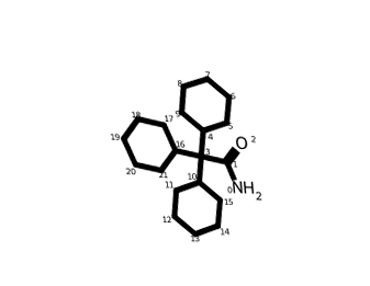 NC(=O)C(C1CCCCC1)(C1CCCCC1)C1CCCCC1